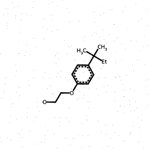 CCC(C)(C)c1ccc(OCC[O])cc1